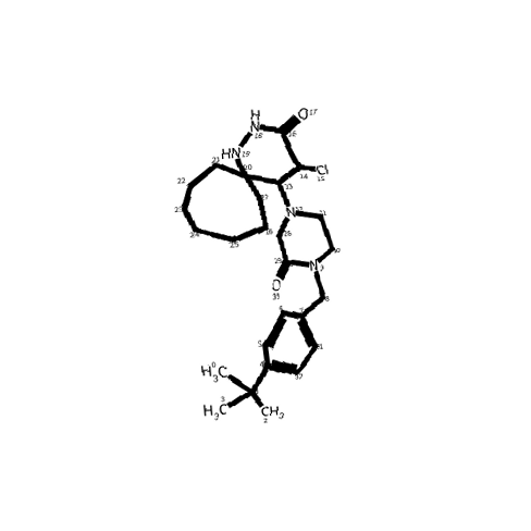 CC(C)(C)c1ccc(CN2CCN(C3C(Cl)C(=O)NNC34CCCCCCC4)CC2=O)cc1